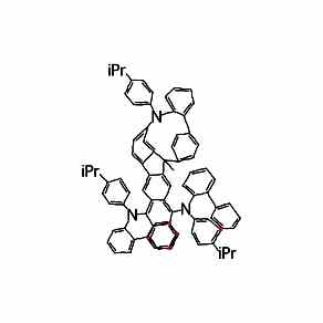 CC(C)c1ccc(N2c3ccc4c(c3)C(C)(c3ccc(cc3)-c3ccccc32)c2cc3c(N(c5ccc(C(C)C)cc5)c5ccccc5-c5ccccc5)c5ccccc5c(N(c5ccc(C(C)C)cc5)c5ccccc5-c5ccccc5)c3cc2-4)cc1